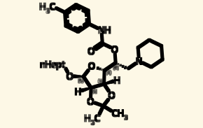 CCCCCCCO[C@H]1O[C@H]([C@@H](CN2CCCCC2)OC(=O)Nc2ccc(C)cc2)[C@@H]2OC(C)(C)O[C@H]12